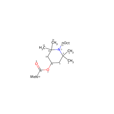 CCCCCCCCN1C(C)(C)CC(OC(=O)NC)CC1(C)C